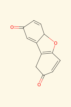 O=C1C=CC2OC3=C(CC(=O)C=C3)C2=C1